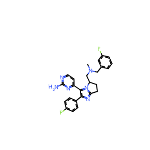 CN(Cc1cccc(F)c1)CC1CCc2nc(-c3ccc(F)cc3)c(-c3ccnc(N)n3)n21